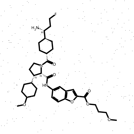 COCCCOC(=O)c1cc2cc(NC(=O)[C@@H]3[C@H](C4CCC(OC)CC4)CCN3C(=O)[C@H]3CC[C@H]([C@H](N)CCF)CC3)ccc2o1